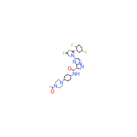 CC(=O)N1CCN(c2ccc(NC(=O)c3cnn4ccc(N5C[C@@H](F)C[C@@H]5c5cc(F)ccc5F)nc34)cc2)CC1